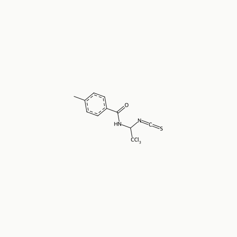 Cc1ccc(C(=O)NC(N=C=S)C(Cl)(Cl)Cl)cc1